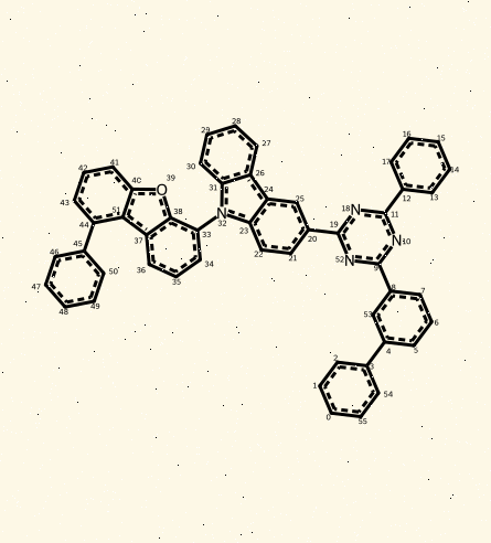 c1ccc(-c2cccc(-c3nc(-c4ccccc4)nc(-c4ccc5c(c4)c4ccccc4n5-c4cccc5c4oc4cccc(-c6ccccc6)c45)n3)c2)cc1